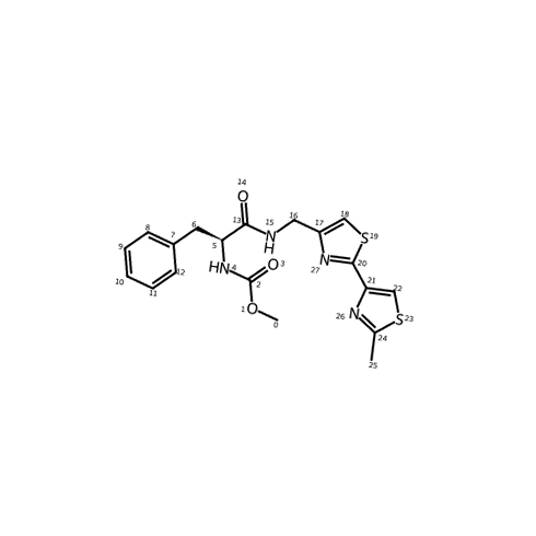 COC(=O)N[C@@H](Cc1ccccc1)C(=O)NCc1csc(-c2csc(C)n2)n1